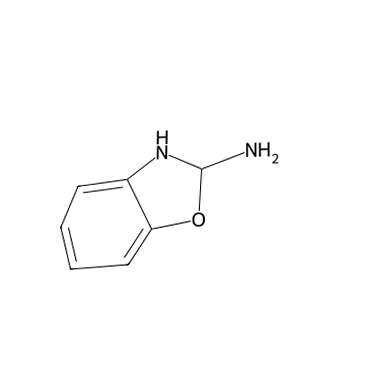 NC1Nc2ccccc2O1